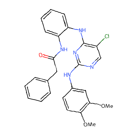 COc1ccc(Nc2ncc(Cl)c(Nc3ccccc3NC(=O)Cc3ccccc3)n2)cc1OC